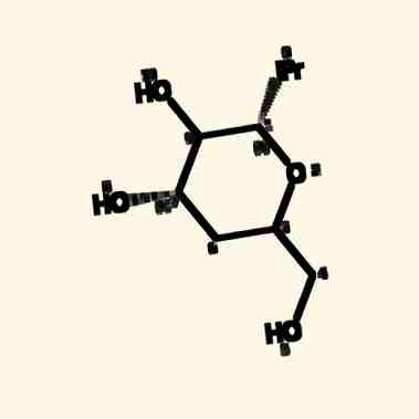 CC(C)[C@@H]1OC(CO)C[C@H](O)C1O